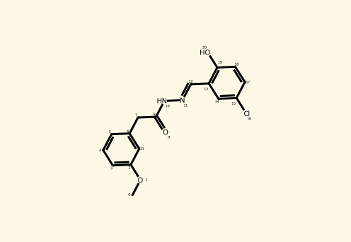 COc1cccc(CC(=O)N/N=C/c2cc(Cl)ccc2O)c1